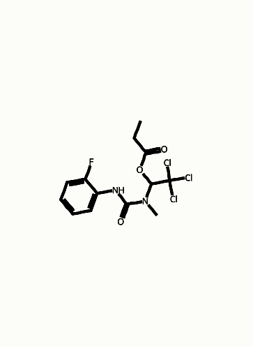 CCC(=O)OC(N(C)C(=O)Nc1ccccc1F)C(Cl)(Cl)Cl